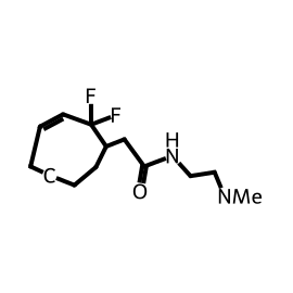 CNCCNC(=O)CC1CCCC/C=C\C1(F)F